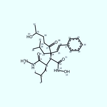 CC(C)C[C@@H](C(=O)NN)[C@H](C(=O)NO)C(/C=C/c1ccccc1)(CC(C)C)C(=O)CCC(C)O